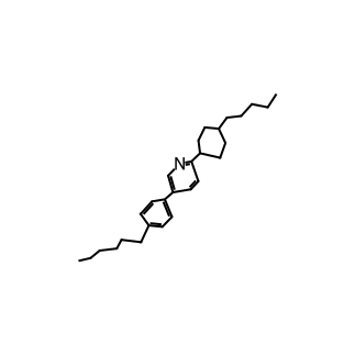 CCCCCCc1ccc(-c2ccc(C3CCC(CCCCC)CC3)nc2)cc1